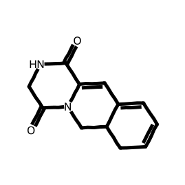 O=C1NCC(=O)N2CC3CC=CC=C3C=C12